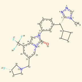 Cn1cnnc1[C@@H](c1cccc(-n2cc3c(C(F)(F)F)cc(CN4CC[C@H](F)C4)cn3c2=O)c1)C1CCC1